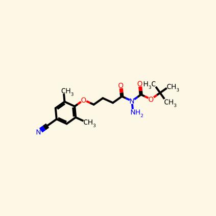 Cc1cc(C#N)cc(C)c1OCCCC(=O)N(N)C(=O)OC(C)(C)C